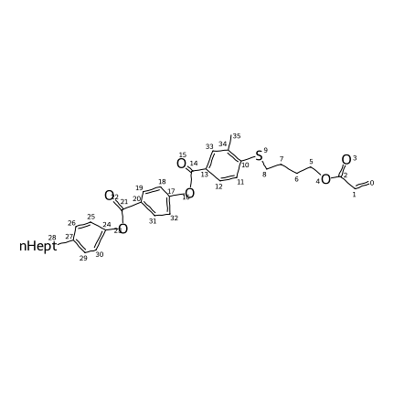 C=CC(=O)OCCCCSc1ccc(C(=O)Oc2ccc(C(=O)Oc3ccc(CCCCCCC)cc3)cc2)cc1C